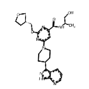 C[C@H](CO)NC(=O)c1cc(N2CCC(c3n[nH]c4ncccc34)CC2)nc(OC[C@@H]2CCOC2)n1